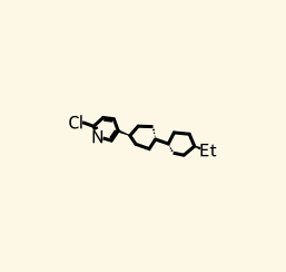 CC[C@H]1CC[C@H]([C@H]2CC[C@H](c3ccc(Cl)nc3)CC2)CC1